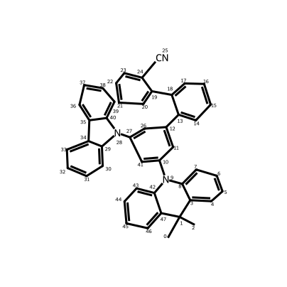 CC1(C)c2ccccc2N(c2cc(-c3ccccc3-c3ccccc3C#N)cc(-n3c4ccccc4c4ccccc43)c2)c2ccccc21